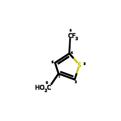 O=C(O)c1csc(C(F)(F)F)c1